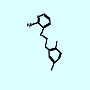 Nc1ncccc1OCCc1cc(F)ccc1F